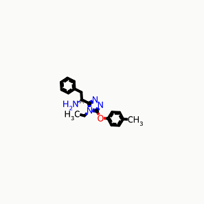 CCn1c(Oc2ccc(C)cc2)nnc1[C@H](N)Cc1ccccc1